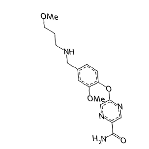 COCCCNCc1ccc(Oc2cnc(C(N)=O)cn2)c(OC)c1